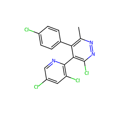 Cc1nnc(Cl)c(-c2ncc(Cl)cc2Cl)c1-c1ccc(Cl)cc1